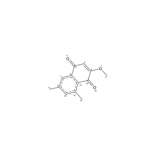 COC1=CC(=O)c2cc(C)cc(C)c2C1=O